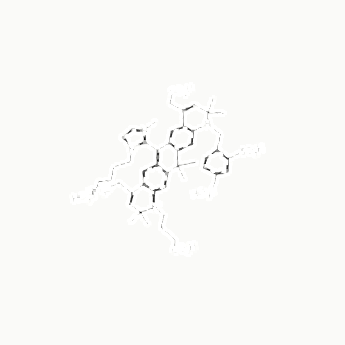 Cn1cc[n+](CCCCS(=O)(=O)O)c1C1=c2cc3c(cc2C(C)(C)c2cc4c(cc21)C(CS(=O)(=O)O)=CC(C)(C)N4Cc1ccc(S(=O)(=O)O)cc1S(=O)(=O)O)=[N+](CCCC(=O)O)C(C)(C)C=C3CS(=O)(=O)O